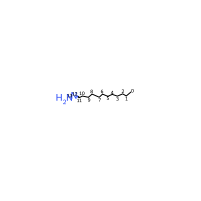 CCCCCCCCCCCC=NN